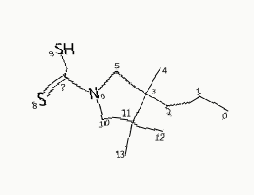 CCCC1(C)CN(C(=S)S)CC1(C)C